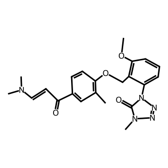 COc1cccc(-n2nnn(C)c2=O)c1COc1ccc(C(=O)C=CN(C)C)cc1C